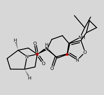 CC(C)NC1CCN(S(=O)(=O)N2[C@@H]3CC[C@H]2C[C@@H](NC(=O)c2cc(C4CC4)on2)C3)CC1